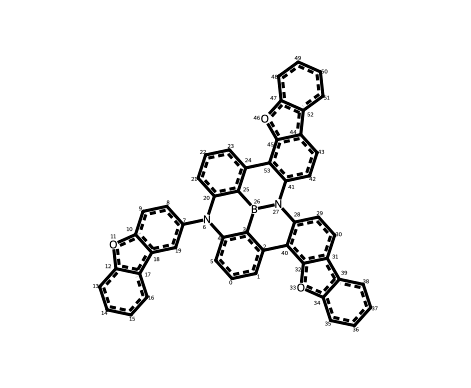 c1cc2c3c(c1)N(c1ccc4oc5ccccc5c4c1)c1cccc4c1B3N(c1ccc3c(oc5ccccc53)c1-2)c1ccc2c(oc3ccccc32)c1-4